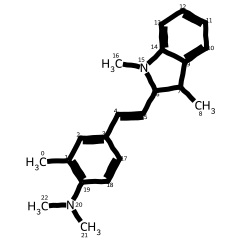 Cc1cc(C=CC2C(C)c3ccccc3N2C)ccc1N(C)C